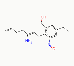 C=CCC/C(N)=C/Cc1c(CO)cc(CC)cc1N=O